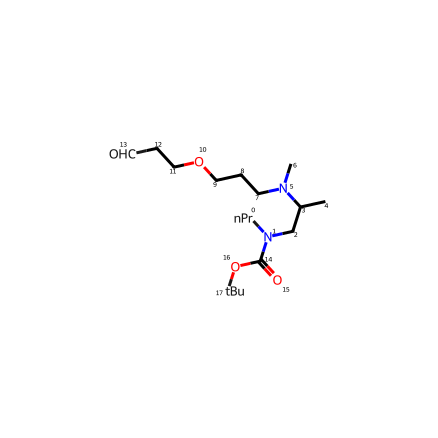 CCCN(CC(C)N(C)CCCOCCC=O)C(=O)OC(C)(C)C